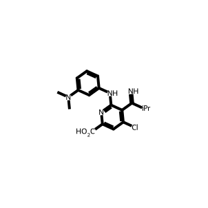 CC(C)C(=N)c1c(Cl)cc(C(=O)O)nc1Nc1cccc(N(C)C)c1